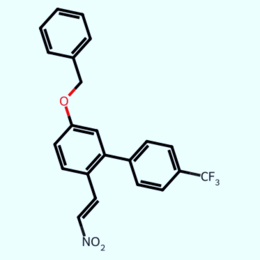 O=[N+]([O-])C=Cc1ccc(OCc2ccccc2)cc1-c1ccc(C(F)(F)F)cc1